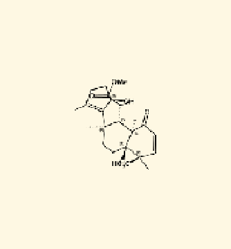 COC(=O)C(C)[C@@H]1[C@@]2(C)C(=O)C=C[C@@](C)(C(=O)O)[C@@H]2CC[C@@]1(C)C1=C(C)CC[C@H]1O